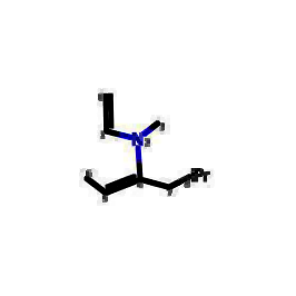 C=CN(C)/C(=C\C)CC(C)C